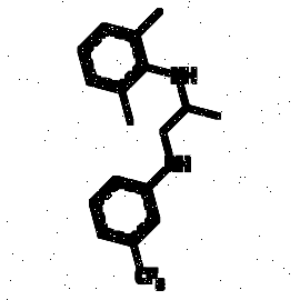 Cc1cccc(C)c1NC(C)CNc1cccc(C(F)(F)F)c1